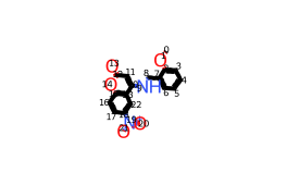 COc1ccccc1CNc1cc(=O)oc2ccc([N+](=O)[O-])cc12